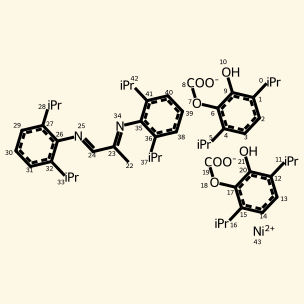 CC(C)c1ccc(C(C)C)c(OC(=O)[O-])c1O.CC(C)c1ccc(C(C)C)c(OC(=O)[O-])c1O.CC(C=Nc1c(C(C)C)cccc1C(C)C)=Nc1c(C(C)C)cccc1C(C)C.[Ni+2]